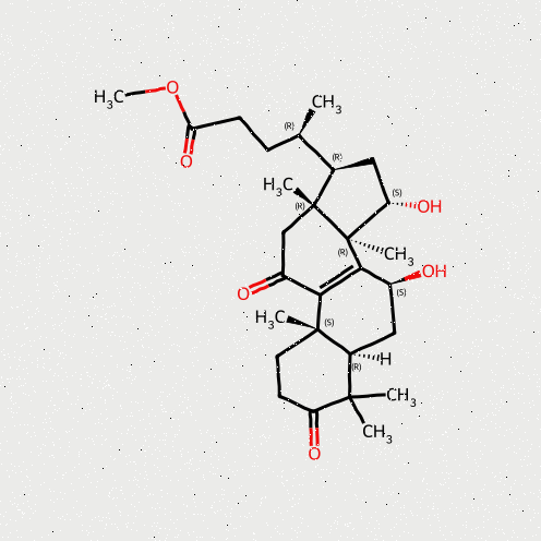 COC(=O)CC[C@@H](C)[C@H]1C[C@H](O)[C@@]2(C)C3=C(C(=O)C[C@]12C)[C@@]1(C)CCC(=O)C(C)(C)[C@@H]1C[C@@H]3O